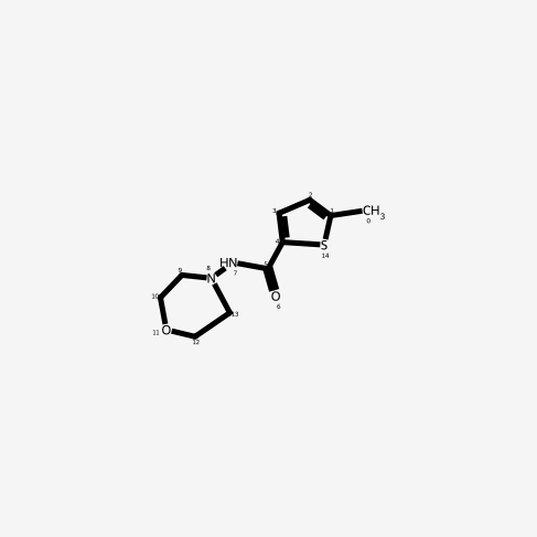 Cc1ccc(C(=O)NN2CCOCC2)s1